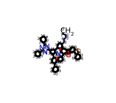 C=C/C=C\C=C\c1ccc(-c2cc(-c3nc(-c4ccccc4)nc(-c4ccccc4)n3)cc(-c3ccc(-c4ccccc4)cc3)c2-n2c3ccccc3c3c4oc5c(ccc6sc7ccccc7c65)c4ccc32)cc1